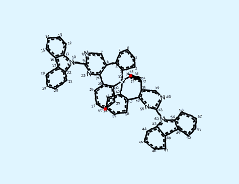 c1ccc2c(c1)-c1cnc(-n3c4ccccc4c4ccccc43)nc1-c1ccccc1[Si]21c2ccccc2-c2cnc(-n3c4ccccc4c4ccccc43)nc2-c2ccccc21